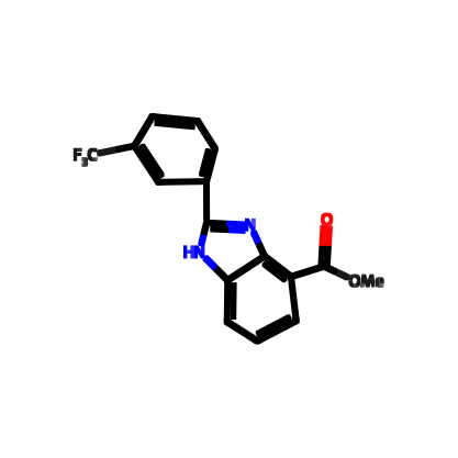 COC(=O)c1cccc2[nH]c(-c3cccc(C(F)(F)F)c3)nc12